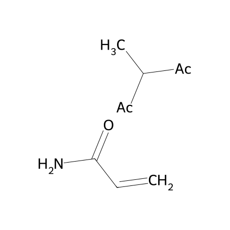 C=CC(N)=O.CC(=O)C(C)C(C)=O